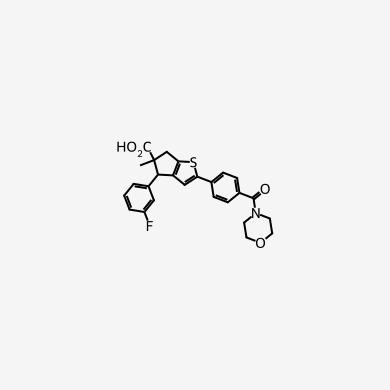 CC1(C(=O)O)Cc2sc(-c3ccc(C(=O)N4CCOCC4)cc3)cc2C1c1cccc(F)c1